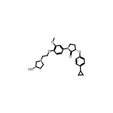 COc1cc(N2CC[C@H](Oc3ccc(C4CC4)cc3)C2=O)ccc1OCCN1CC[C@@H](O)C1